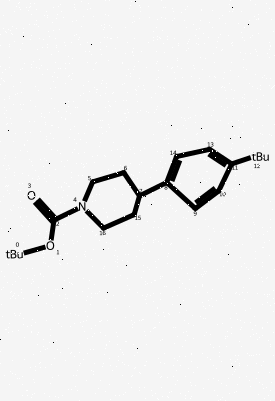 CC(C)(C)OC(=O)N1CCC(c2ccc(C(C)(C)C)cc2)CC1